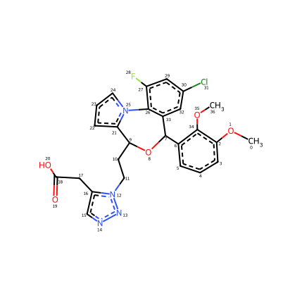 COc1cccc(C2OC(CCn3nncc3CC(=O)O)c3cccn3-c3c(F)cc(Cl)cc32)c1OC